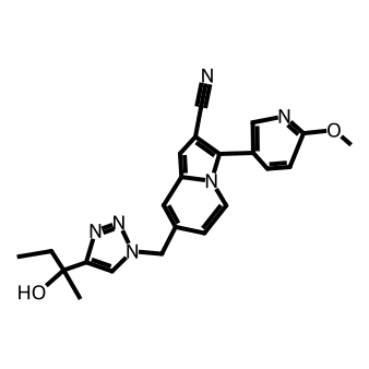 CCC(C)(O)c1cn(Cc2ccn3c(-c4ccc(OC)nc4)c(C#N)cc3c2)nn1